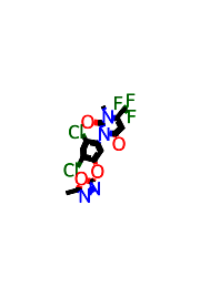 Cc1nnc(Oc2cc(-n3c(=O)cc(C(F)(F)F)n(C)c3=O)c(Cl)cc2Cl)o1